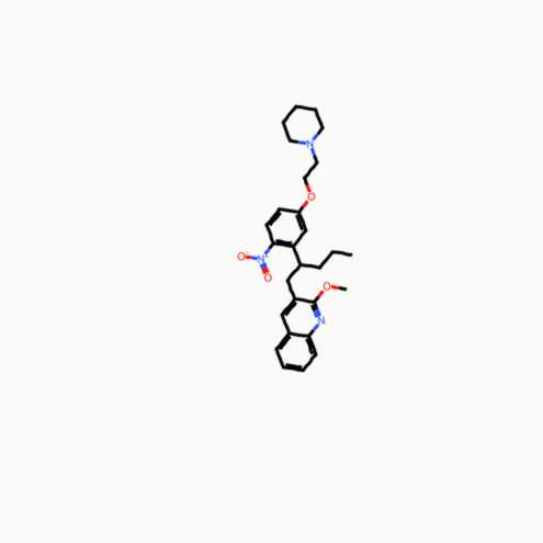 CCCC(Cc1cc2ccccc2nc1OC)c1cc(OCCN2CCCCC2)ccc1[N+](=O)[O-]